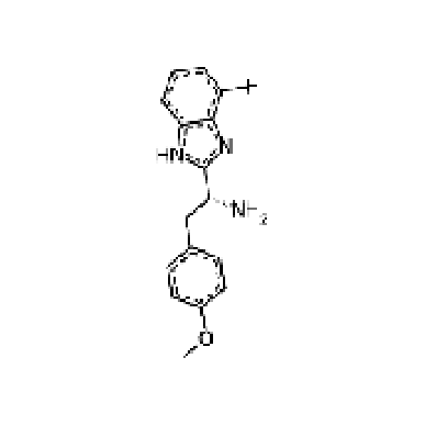 COc1ccc(C[C@@H](N)c2nc3c(F)cccc3[nH]2)cc1